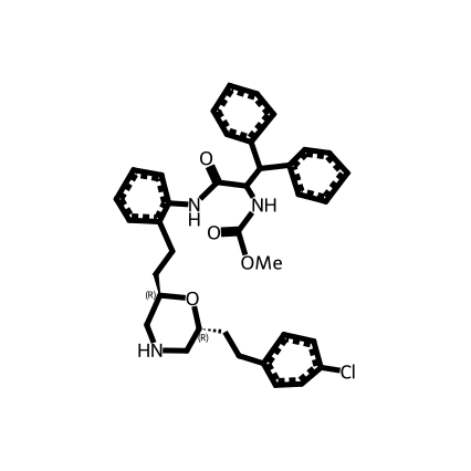 COC(=O)NC(C(=O)Nc1ccccc1CC[C@@H]1CNC[C@@H](CCc2ccc(Cl)cc2)O1)C(c1ccccc1)c1ccccc1